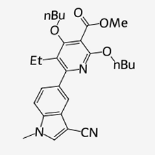 CCCCOc1nc(-c2ccc3c(c2)c(C#N)cn3C)c(CC)c(OCCCC)c1C(=O)OC